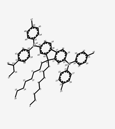 CCCCCCCCC1(CCCCCCCC)c2cc(N(c3ccc(C)cc3)c3ccc(C)cc3)ccc2-c2ccc(N(c3ccc(C)cc3)c3ccc(C(C)CC)cc3)cc21